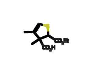 CCOC(=O)C1SC=C(C)C1(C)C(=O)O